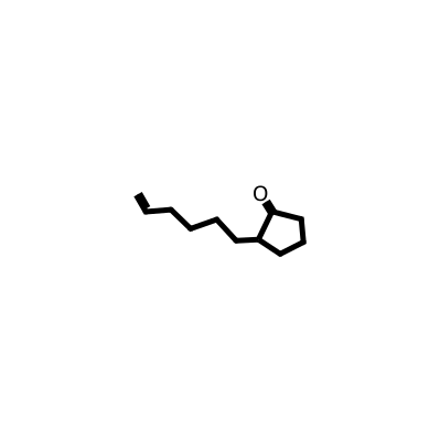 C=CCCCCC1CCCC1=O